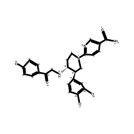 NC(=O)c1ccc(N2CC[C@@H](NCC(=O)c3ccc(Cl)cc3)[C@H](c3ccc(Cl)c(Cl)c3)C2)nc1